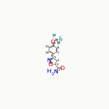 NC(=O)C1CC(c2ccc(OC(F)(F)F)cc2)=NO1